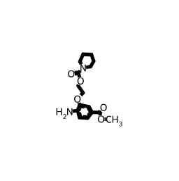 COC(=O)c1ccc(N)c(OCCOC(=O)N2CCCCC2)c1